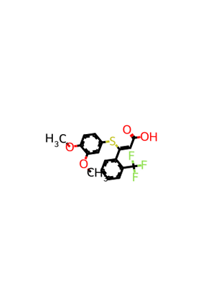 COc1ccc(SC(=CC(=O)O)c2ccccc2C(F)(F)F)cc1OC